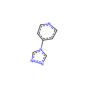 [c]1nncn1-c1ccncc1